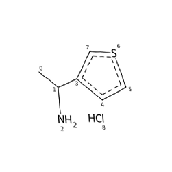 CC(N)c1ccsc1.Cl